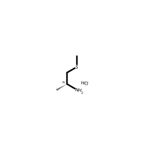 CSC[C@@H](C)N.Cl